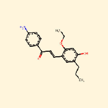 CCCc1cc(C=CC(=O)c2ccc(N)cc2)c(OCC)cc1O